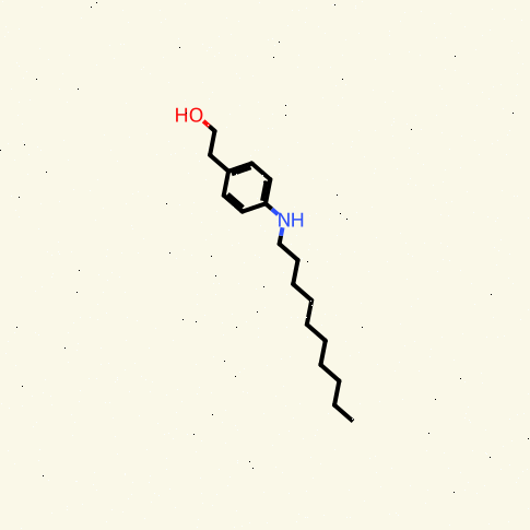 CCCCCCCCCCNc1ccc(CCO)cc1